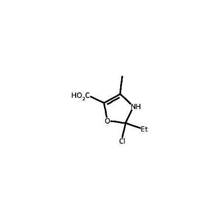 CCC1(Cl)NC(C)=C(C(=O)O)O1